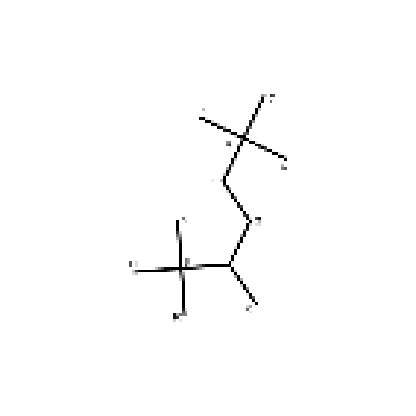 CC(CCC(C)(C)C)C(C)(C)C